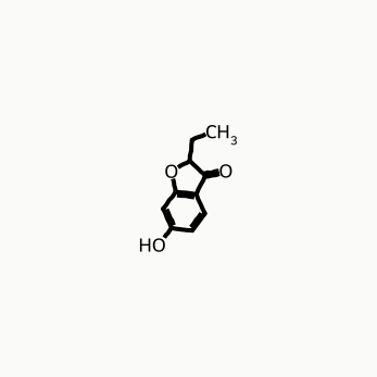 CCC1Oc2cc(O)ccc2C1=O